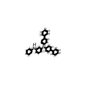 c1ccc(Nc2cccc(N(c3ccc(-c4ccccc4)cc3)c3ccc(-c4ccccc4)cc3)c2)cc1